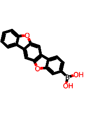 OB(O)c1ccc2c(c1)oc1cc3c(cc12)oc1ccccc13